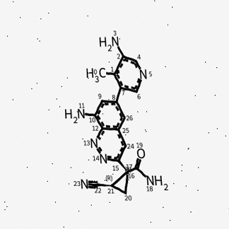 Cc1c(N)cncc1-c1cc(N)c2nnc([C@@]3(C(N)=O)C[C@H]3C#N)cc2c1